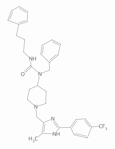 Cc1[nH]c(-c2ccc(C(F)(F)F)cc2)nc1CN1CCC(N(Cc2ccccc2)C(=O)NCCCc2ccccc2)CC1